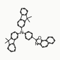 CC1(C)c2ccccc2-c2cc(N(c3ccc(-c4nc5ccc6ccccc6c5o4)cc3)c3ccc4c(c3)C(C)(C)c3ccccc3-4)ccc21